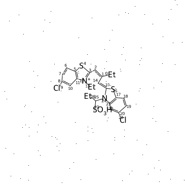 CCC(=Cc1sc2ccc(Cl)cc2[n+]1CC)C=C1Sc2ccc(Cl)cc2N1C(CC)S(=O)(=O)O